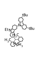 CCn1c2ccc(C(c3c(C)cccc3C)c3c(C)cccc3C)cc2c2cc(-n3c4ccc(C(C)(C)C)cc4c4cc(C(C)(C)C)ccc43)ccc21